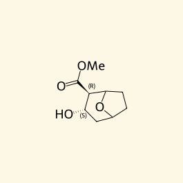 COC(=O)[C@H]1C2CCC(C[C@@H]1O)O2